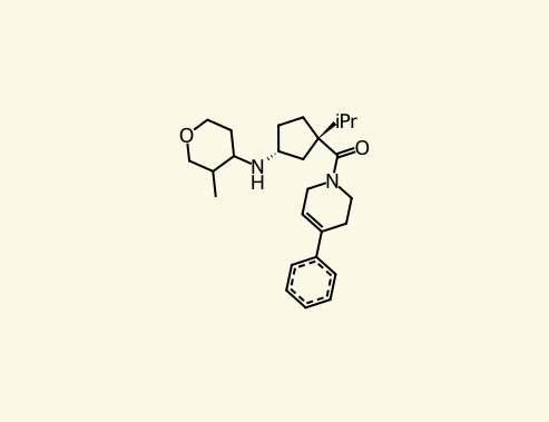 CC1COCCC1N[C@@H]1CC[C@@](C(=O)N2CC=C(c3ccccc3)CC2)(C(C)C)C1